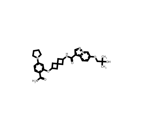 CC(C)(O)COc1ccc2c(C(=O)NC3CC4(C3)CC(Oc3cc(N5CCCC5)ccc3C(N)=O)C4)cnn2c1